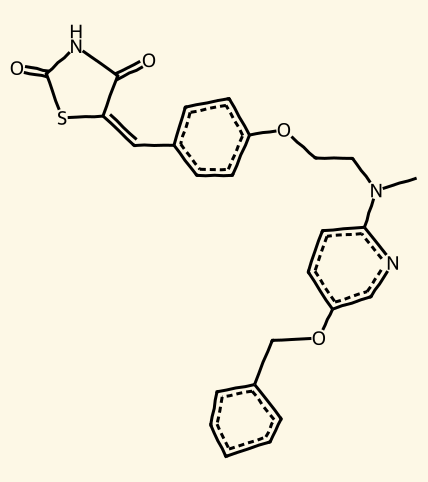 CN(CCOc1ccc(C=C2SC(=O)NC2=O)cc1)c1ccc(OCc2ccccc2)cn1